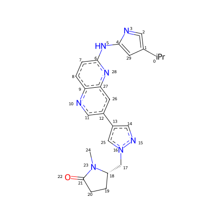 CC(C)C1=C=NC(Nc2ccc3ncc(-c4cnn(C[C@@H]5CCC(=O)N5C)c4)cc3n2)=C1